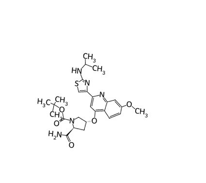 COc1ccc2c(O[C@@H]3C[C@@H](C(N)=O)N(C(=O)OC(C)(C)C)C3)cc(-c3csc(NC(C)C)n3)nc2c1